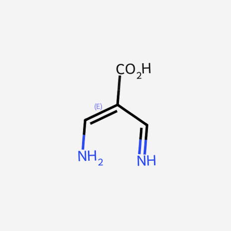 N=C/C(=C\N)C(=O)O